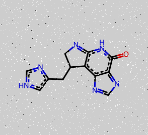 O=c1[nH]c2c(c3c1=NC=N3)C(Cc1c[nH]cn1)CN=2